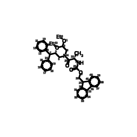 CCOC(CN(CCC(c1ccccc1)c1ccccc1)C(=O)[C@H](C)NC(=O)OCC1c2ccccc2-c2ccccc21)OCC